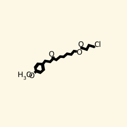 COc1ccc(CCC(=O)CCCCCCOC(=O)CCCCl)cc1